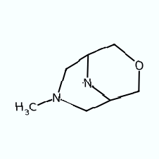 CN1CC2COCC(C1)[N]2